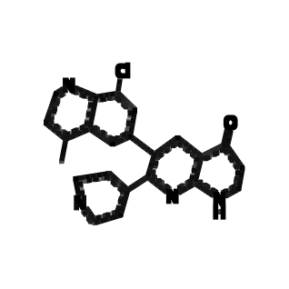 Cc1ccnc2c(Cl)cc(-c3cc4c(=O)cc[nH]c4nc3-c3ccncc3)cc12